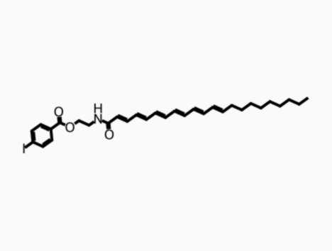 CCCCCCCCCC=CC=CC=CC=CC=CC=CC(=O)NCCOC(=O)c1ccc(I)cc1